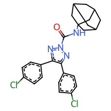 O=C(NC12CC3CC(CC(C3)C1)C2)n1nc(-c2ccc(Cl)cc2)c(-c2ccc(Cl)cc2)n1